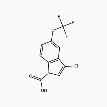 O=C(O)n1cc(Cl)c2cc(OC(F)(F)F)ccc21